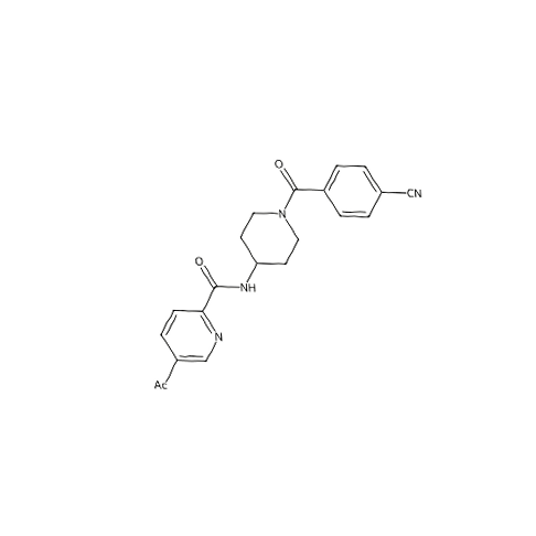 CC(=O)c1ccc(C(=O)NC2CCN(C(=O)c3ccc(C#N)cc3)CC2)nc1